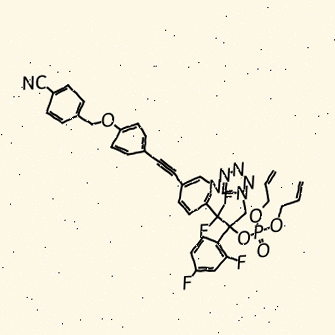 C=CCOP(=O)(OCC=C)OC(Cn1cnnn1)(c1ccc(F)cc1F)C(F)(F)c1ccc(C#Cc2ccc(OCc3ccc(C#N)cc3)cc2)cn1